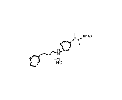 CCCCCCC(C)Nc1ccc(NCCCc2ccccc2)cc1.Cl.Cl